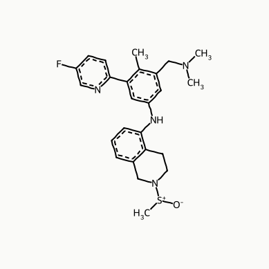 Cc1c(CN(C)C)cc(Nc2cccc3c2CCN([S+](C)[O-])C3)cc1-c1ccc(F)cn1